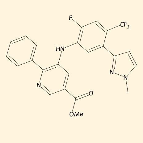 COC(=O)c1cnc(-c2ccccc2)c(Nc2cc(-c3ccn(C)n3)c(C(F)(F)F)cc2F)c1